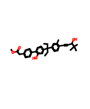 CCC(CC)(c1ccc(C#CC(O)C(C)(C)C)c(C)c1)c1ccc(-c2ccc(CC(=O)OC)cc2)c(O)c1